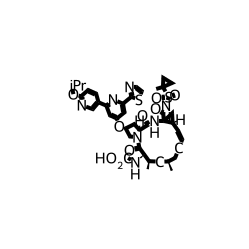 CC(C)Oc1ccc(-c2cc(O[C@@H]3C[C@H]4C(=O)NC5(C(=O)NS(=O)(=O)C6(C)CC6)C[C@H]5/C=C\CC[C@@H](C)C[C@@H](C)[C@H](NC(=O)O)C(=O)N4C3)cc(-c3nccs3)n2)cn1